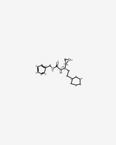 O=C(N[C@H](CCC1CCCCC1)[C@H]1CO1)OCc1ccccc1